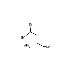 CCC(CC)CCC=O.[AlH3]